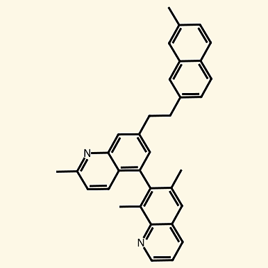 Cc1ccc2ccc(CCc3cc(-c4c(C)cc5cccnc5c4C)c4ccc(C)nc4c3)cc2c1